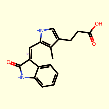 Cc1c(CCC(=O)O)c[nH]c1/C=C1/C(=O)Nc2ccccc21